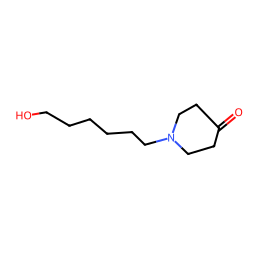 O=C1CCN(CCCCCCO)CC1